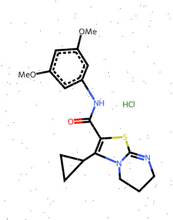 COc1cc(NC(=O)C2=C(C3CC3)N3CCCN=C3S2)cc(OC)c1.Cl